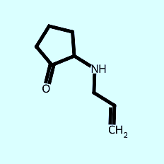 C=CCNC1CCCC1=O